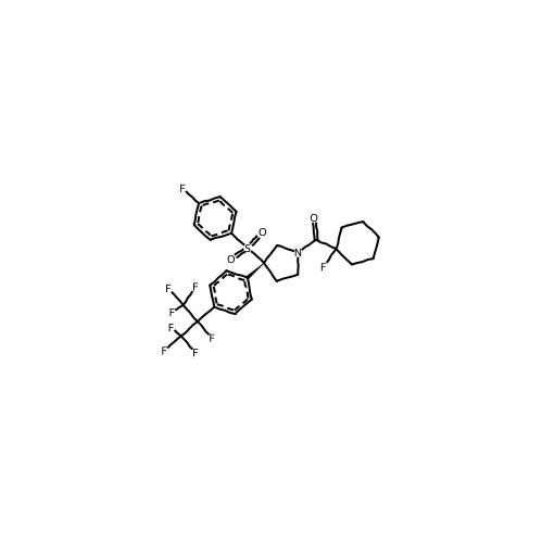 O=C(N1CC[C@](c2ccc(C(F)(C(F)(F)F)C(F)(F)F)cc2)(S(=O)(=O)c2ccc(F)cc2)C1)C1(F)CCCCC1